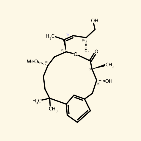 CC[C@H](/C=C(/C)[C@@H]1C[C@@H](OC)CCC(C)(C)c2cccc(c2)C[C@@H](O)[C@H](C)C(=O)O1)CO